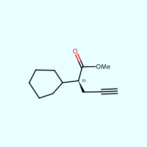 C#CC[C@H](C(=O)OC)C1CCCCC1